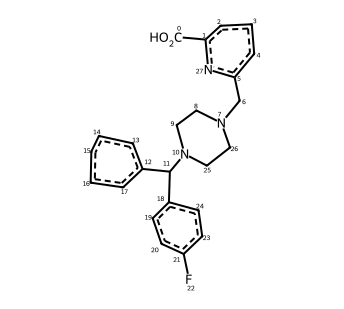 O=C(O)c1cccc(CN2CCN(C(c3ccccc3)c3ccc(F)cc3)CC2)n1